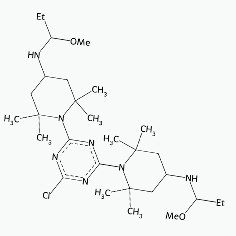 CCC(NC1CC(C)(C)N(c2nc(Cl)nc(N3C(C)(C)CC(NC(CC)OC)CC3(C)C)n2)C(C)(C)C1)OC